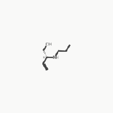 C=C[C@H](CO)NCCC